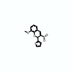 COc1cccc2c1OC(c1cccs1)C([N+](=O)[O-])=C2